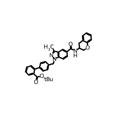 Cc1nn(Cc2ccc(-c3ccccc3C(=O)OC(C)(C)C)cc2)c2ccc(C(=O)NC3COc4ccccc4C3)cc12